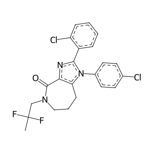 CC(F)(F)CN1CCCc2c(nc(-c3ccccc3Cl)n2-c2ccc(Cl)cc2)C1=O